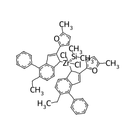 CCc1ccc2c(c1-c1ccccc1)C=C(c1ccc(C)o1)[CH]2[Zr]([Cl])([Cl])([CH]1C(c2ccc(C)o2)=Cc2c1ccc(CC)c2-c1ccccc1)=[Si](C)C